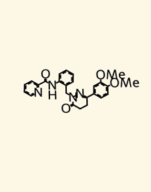 COc1ccc(C2=NN(Cc3ccccc3NC(=O)c3ccccn3)C(=O)CC2)cc1OC